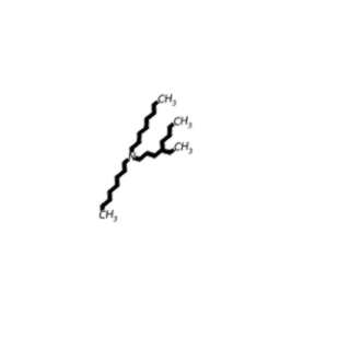 CCCCCCCCN(CCCCCCCC)CCCC(CC)CCCC